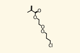 C=C(C)C(=O)OCCOOCCCCl